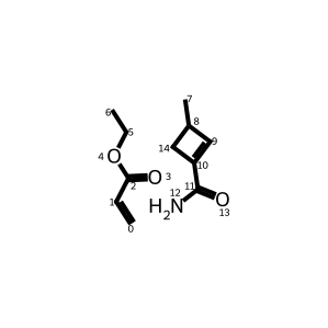 C=CC(=O)OCC.CC1C=C(C(N)=O)C1